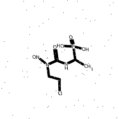 CC(NC(=O)N(CCCl)N=O)P(=O)(O)O